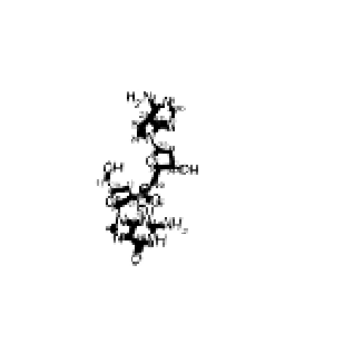 Nc1nc2c(ncn2[C@@H]2O[C@H](CO)C[C@H]2[P@](=O)(S)OCC2O[C@@H](n3ccc4c(N)ncnc43)C[C@@H]2O)c(=O)[nH]1